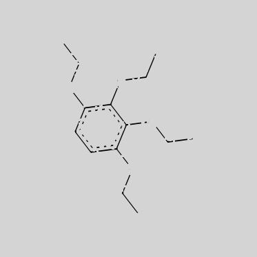 CCOc1[c]cc(OCC)c(OCC)c1OCC